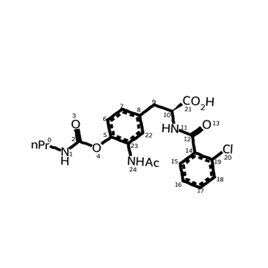 CCCNC(=O)Oc1ccc(C[C@H](NC(=O)c2ccccc2Cl)C(=O)O)cc1NC(C)=O